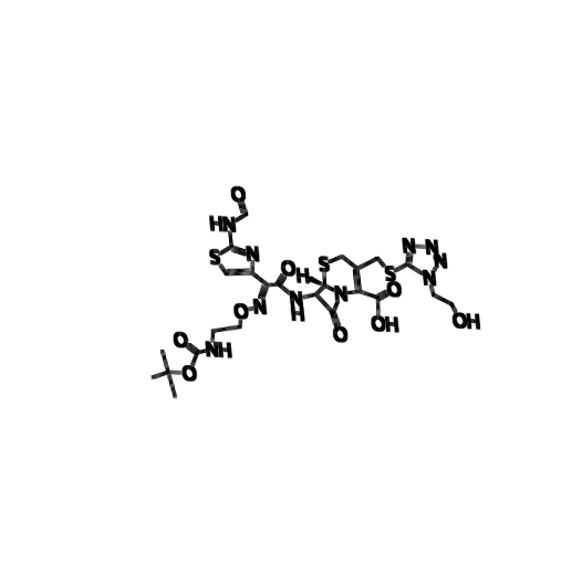 CC(C)(C)OC(=O)NCCON=C(C(=O)NC1C(=O)N2C(C(=O)O)=C(CSc3nnnn3CCO)CS[C@@H]12)c1csc(NC=O)n1